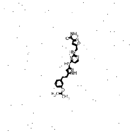 CC(C)Oc1cccc(CCc2cc(Nc3ccnc(NCc4cc(C(N)=O)no4)n3)n[nH]2)c1